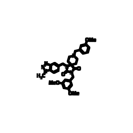 COc1cccc(CN2CCC3(CC2)C(=O)N(Cc2cc(OC)cc(OC)c2)C(=O)N3Cc2ccc3c(c2)nnn3C)c1